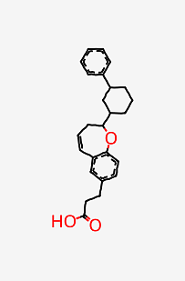 O=C(O)CCc1ccc2c(c1)C=CCC(C1CCCC(c3ccccc3)C1)O2